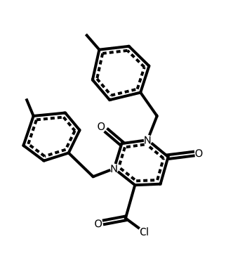 Cc1ccc(Cn2c(C(=O)Cl)cc(=O)n(Cc3ccc(C)cc3)c2=O)cc1